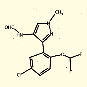 Cn1cc(NC=O)c(-c2cc(Cl)ccc2OC(F)F)n1